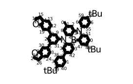 Cc1cc2c3c(c1)N(c1cc(-c4ccc5ccoc5c4)cc(-c4ccc5ccoc5c4)c1)c1cc(-c4ccc(C(C)(C)C)cc4)ccc1B3c1cc(C(C)(C)C)ccc1N2c1ccc(C(C)(C)C)cc1